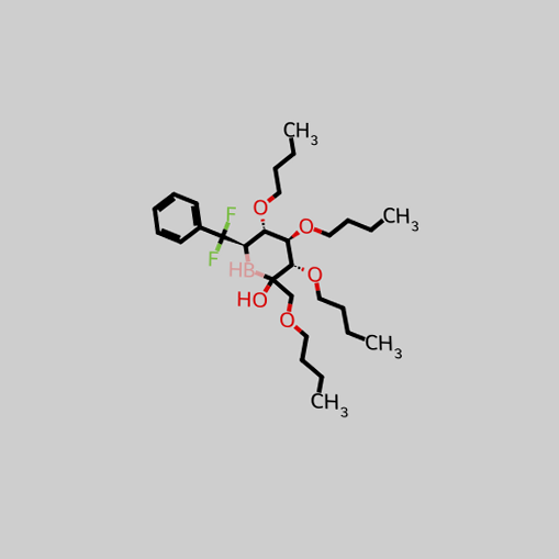 CCCCOCC1(O)B[C@@H](C(F)(F)c2ccccc2)[C@H](OCCCC)[C@@H](OCCCC)[C@@H]1OCCCC